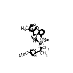 COc1cnc(C(C)C(C)SNc2nnc(-c3cncc(C)c3)n2-c2c(OC)cccc2OC)nc1